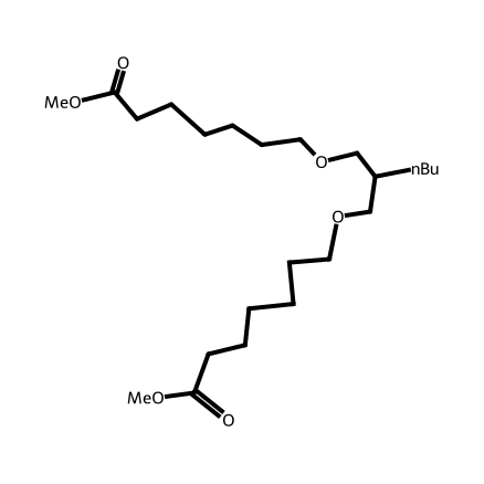 CCCCC(COCCCCCCC(=O)OC)COCCCCCCC(=O)OC